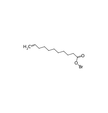 C=CCCCCCCCCC(=O)OBr